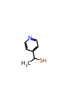 C[C](S)c1ccncc1